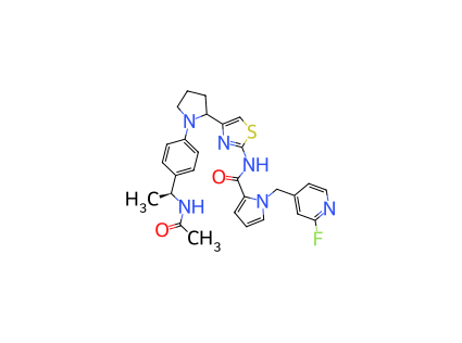 CC(=O)N[C@@H](C)c1ccc(N2CCCC2c2csc(NC(=O)c3cccn3Cc3ccnc(F)c3)n2)cc1